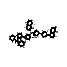 CC1(c2ccccc2)c2ccccc2-c2c(-c3cccc(N(c4ccc(-c5ccc(-c6cccc7ccccc67)cc5)cc4)c4ccc5ccccc5c4)c3)cccc21